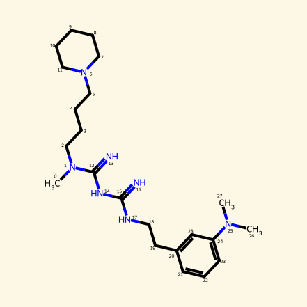 CN(CCCCN1CCCCC1)C(=N)NC(=N)NCCc1cccc(N(C)C)c1